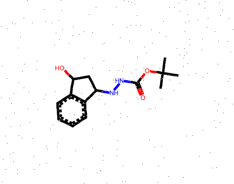 CC(C)(C)OC(=O)NNC1CC(O)c2ccccc21